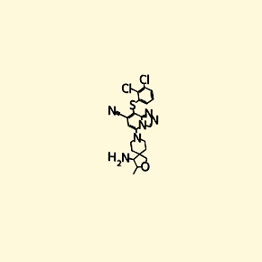 CC1OCC2(CCN(c3cc(C#N)c(Sc4cccc(Cl)c4Cl)c4nncn34)CC2)C1N